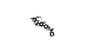 Cc1nc(N)c2c(n1)OC(C)(C)C(c1ccc(C3CCC(CNC(=O)N4CCOCC4)CC3)c(Cl)c1)=N2